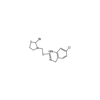 Clc1ccc2c(c1)NC(SCN1CCSC1Br)=NC2